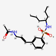 CCCC(CCC)NS(=O)(=O)c1cccc(C=CCNC(C)=O)c1